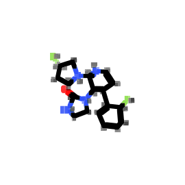 O=C1NCCN1c1c(-c2ccccc2F)ccnc1N1CC[C@H](F)C1